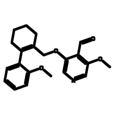 COc1ccccc1C1=C(COc2cncc(OC)c2C=O)CCCC1